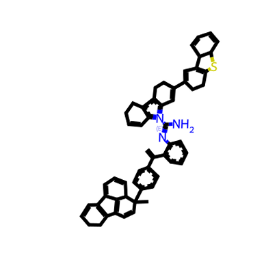 C=C(c1ccc(C2(C)C=CC3=C4C(=CC=CC42)C2=C3CCC=C2)cc1)c1ccccc1/N=C(\N)n1c2c(c3c1C=C(C1=CC4=C(CC1)SC1C=CC=CC41)CC3)CCC=C2